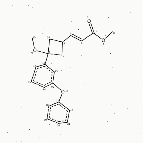 COC(=O)C=CC1CC(OC)(c2cccc(Oc3ccccc3)c2)C1